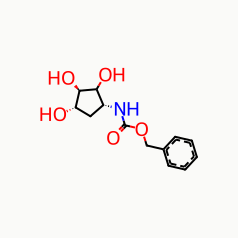 O=C(N[C@@H]1C[C@H](O)[C@@H](O)C1O)OCc1ccccc1